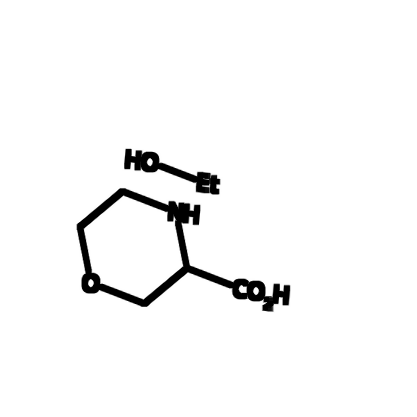 CCO.O=C(O)C1COCCN1